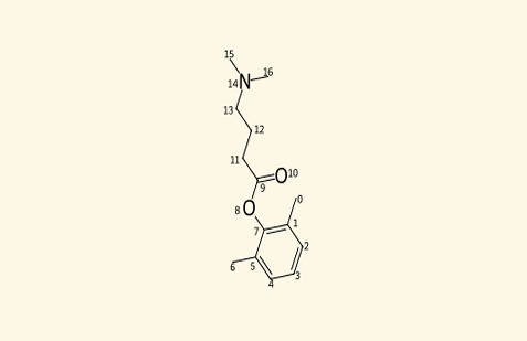 Cc1cccc(C)c1OC(=O)CCCN(C)C